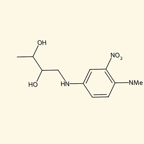 CNc1ccc(NCC(O)C(C)O)cc1[N+](=O)[O-]